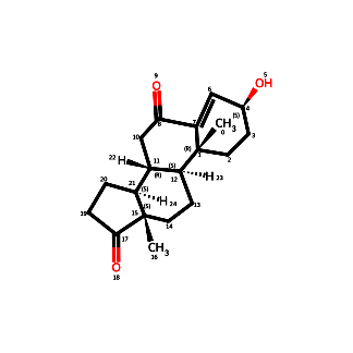 C[C@]12CC[C@H](O)C=C1C(=O)C[C@@H]1[C@@H]2CC[C@]2(C)C(=O)CC[C@@H]12